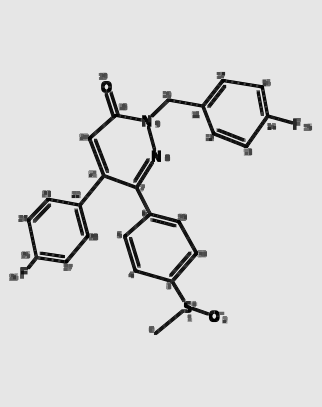 C[S+]([O-])c1ccc(-c2nn(Cc3ccc(F)cc3)c(=O)cc2-c2ccc(F)cc2)cc1